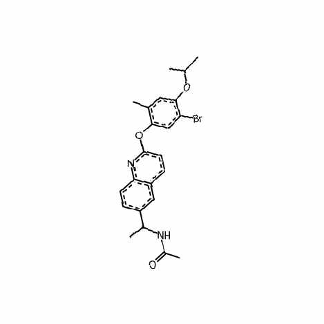 CC(=O)NC(C)c1ccc2nc(Oc3cc(Br)c(OC(C)C)cc3C)ccc2c1